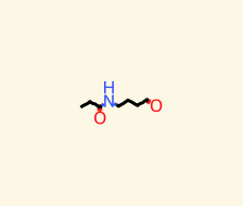 CCC(=O)NCCCC=O